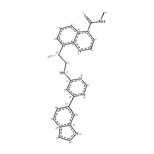 CNC(=S)c1ccnc2c([C@@H](C)CNc3cc(-c4ccn5ccnc5c4)ncn3)cccc12